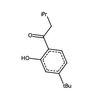 CC(C)CC(=O)c1ccc(C(C)(C)C)cc1O